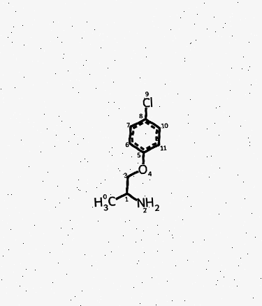 CC(N)COc1ccc(Cl)cc1